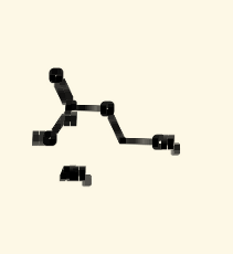 CCO[PH](=O)O.[AlH3]